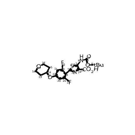 CC(C)(C)OC(=O)Nc1sc(-c2c(F)cc(OC3CCOCC3)cc2F)nc1C(=O)O